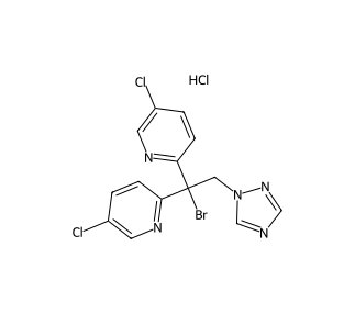 Cl.Clc1ccc(C(Br)(Cn2cncn2)c2ccc(Cl)cn2)nc1